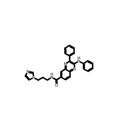 O=C(NCCCn1ccnc1)c1ccc2nc(Nc3ccccc3)c(-c3ccccc3)nc2c1